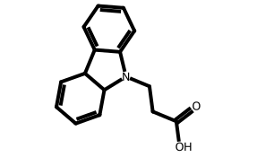 O=C(O)CCN1c2ccccc2C2C=CC=CC21